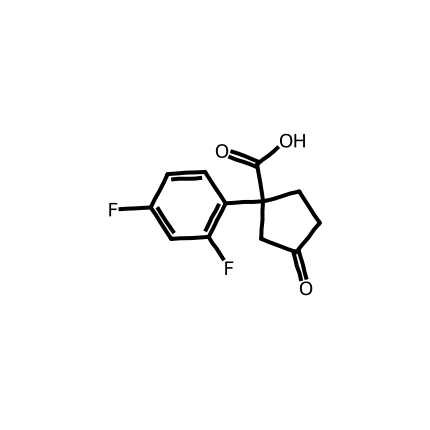 O=C1CCC(C(=O)O)(c2ccc(F)cc2F)C1